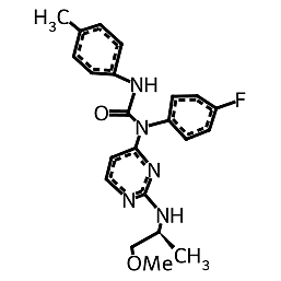 COC[C@H](C)Nc1nccc(N(C(=O)Nc2ccc(C)cc2)c2ccc(F)cc2)n1